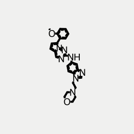 COc1ccccc1-c1ccc2cnc(Nc3ccc4c(c3)ncn4CCN3CCOCC3)nn12